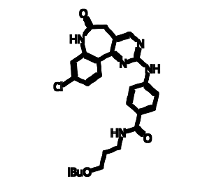 CC(C)COCCCNC(=O)c1ccc(Nc2ncc3c(n2)-c2ccc(Cl)cc2NC(=O)C3)cc1